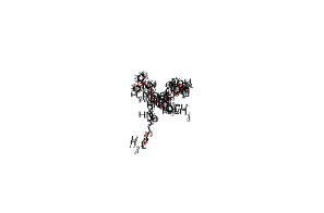 CCCCCCCC(=O)NCCCC[C@H](NC(=O)[C@@H](N)Cc1cn(C(c2ccccc2)c2ccccc2)cn1)C(=O)N[C@H](Cc1ccc(C)cc1)C(=O)N[C@@H](Cc1cc([N+](=O)[O-])c(O)c([N+](=O)[O-])c1)C(=O)O